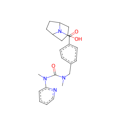 CN(Cc1ccc(C(=O)N2C3CCC2CC(O)C3)cc1)C(=O)N(C)c1ccccn1